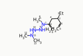 C=CC(CC)CC(=C)N(C)NNN(C)C